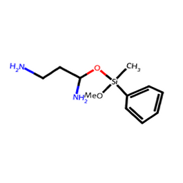 CO[Si](C)(OC(N)CCN)c1ccccc1